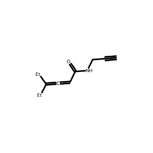 C#CCNC(=O)C=C=C(CC)CC